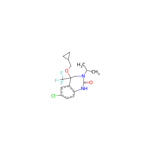 CC(C)N1CC(OCC2CC2)(C(F)(F)F)c2cc(Cl)ccc2NC1=O